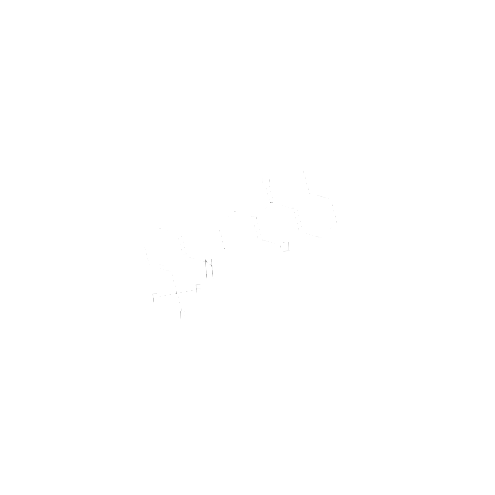 Cc1ccccc1C(=O)c1ccc(Nc2ccccc2C(F)(F)F)cc1Cl